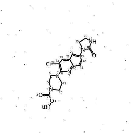 CC(C)(C)OC(=O)N1CCN(c2nc3ccc(N4CCNC4=O)cc3cc2Cl)CC1